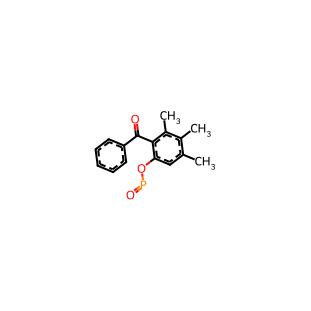 Cc1cc(OP=O)c(C(=O)c2ccccc2)c(C)c1C